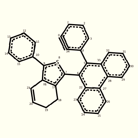 c1cccc(-c2c(-c3sc(-c4ccccc4)c4c3CCC=C4)c3ccccc3c3ccccc23)c#1